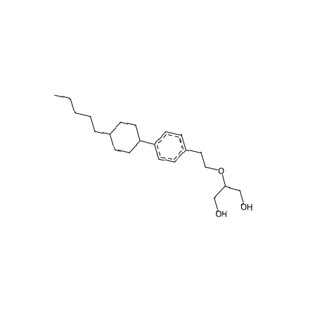 CCCCCC1CCC(c2ccc(CCOC(CO)CO)cc2)CC1